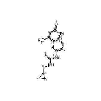 O=c1cc(C(F)(F)F)c2cc(NC(=S)NCC3CC3)ccc2[nH]1